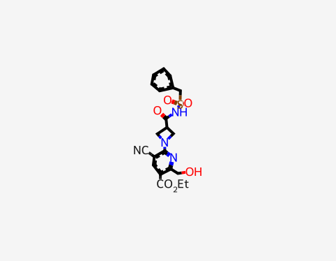 CCOC(=O)c1cc(C#N)c(N2CC(C(=O)NS(=O)(=O)Cc3ccccc3)C2)nc1CO